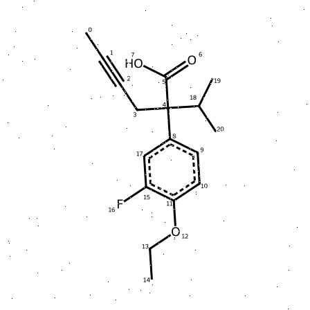 CC#CCC(C(=O)O)(c1ccc(OCC)c(F)c1)C(C)C